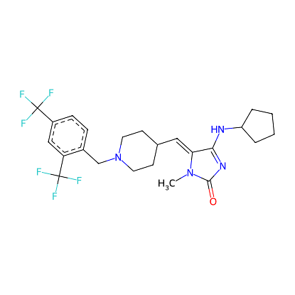 CN1C(=O)N=C(NC2CCCC2)C1=CC1CCN(Cc2ccc(C(F)(F)F)cc2C(F)(F)F)CC1